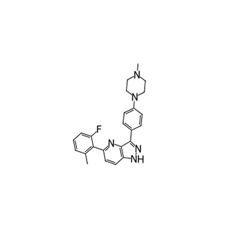 Cc1cccc(F)c1-c1ccc2[nH]nc(-c3ccc(N4CCN(C)CC4)cc3)c2n1